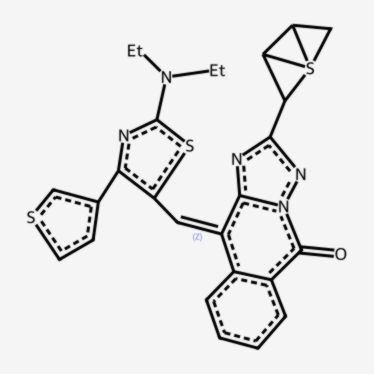 CCN(CC)c1nc(-c2ccsc2)c(/C=c2/c3ccccc3c(=O)n3nc(C4C5C6CS645)nc23)s1